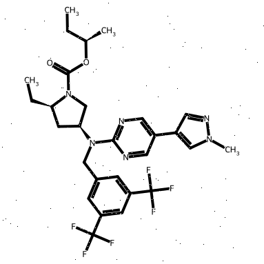 CC[C@@H]1C[C@H](N(Cc2cc(C(F)(F)F)cc(C(F)(F)F)c2)c2ncc(-c3cnn(C)c3)cn2)CN1C(=O)O[C@H](C)CC